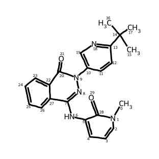 Cn1cccc(Nc2nn(-c3ccc(C(C)(C)C)nc3)c(=O)c3ccccc23)c1=O